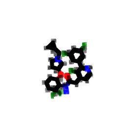 O=C(Cc1ccnc(-c2cc(F)cc(F)c2)c1F)N[C@@H]1[C@@H](O[C@H]2CCN(CC3CC3)C2)CCCC1(F)F